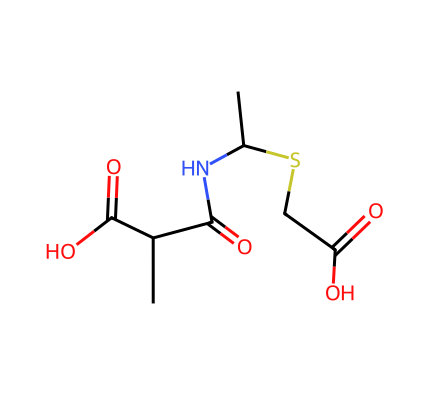 CC(NC(=O)C(C)C(=O)O)SCC(=O)O